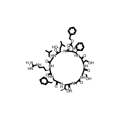 CC(C)C[C@@H]1NC(=O)[C@H]([C@H](O)C(C)C)NC(=O)[C@@H](NC(=O)OCc2ccccc2)[C@@H](c2ccccc2)NC(=O)C(CO)NC(=O)[C@H](CO)NC(=O)CNC(=O)[C@H]([C@H](C)O)NC(=O)[C@H](Cc2ccccc2)NC(=O)[C@@H](CCCNC(=N)N)NC1=O